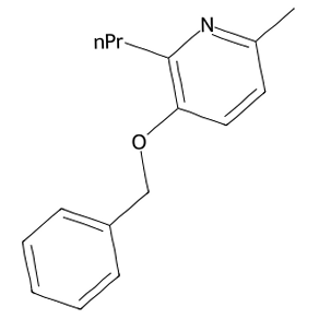 CCCc1nc(C)ccc1OCc1ccccc1